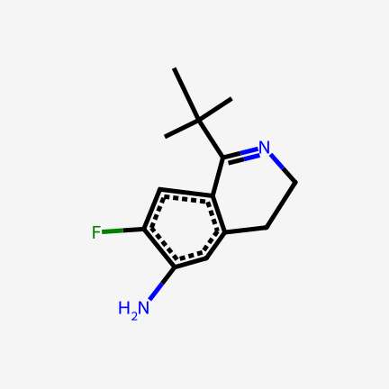 CC(C)(C)C1=NCCc2cc(N)c(F)cc21